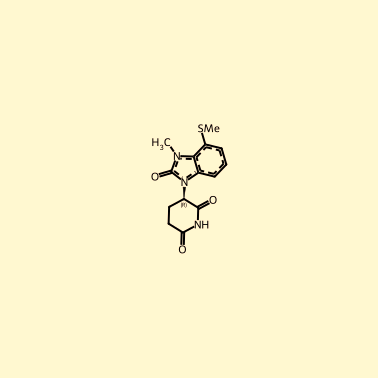 CSc1cccc2c1n(C)c(=O)n2[C@@H]1CCC(=O)NC1=O